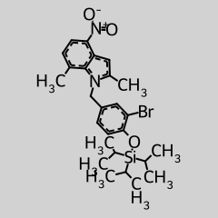 Cc1ccc([N+](=O)[O-])c2cc(C)n(Cc3ccc(O[Si](C(C)C)(C(C)C)C(C)C)c(Br)c3)c12